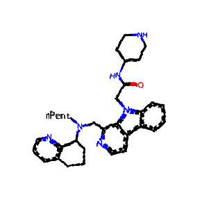 CCCCCN(Cc1nccc2c3ccccc3n(CC(=O)NC3CCNCC3)c12)C1CCCc2cccnc21